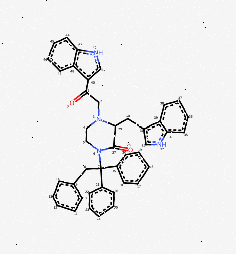 O=C(CN1CCN(C(Cc2ccccc2)(c2ccccc2)c2ccccc2)C(=O)C1Cc1c[nH]c2ccccc12)c1c[nH]c2ccccc12